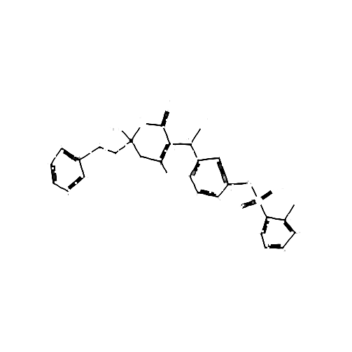 CCCC1(CCc2ccccc2)CC(O)=C(C(CC)c2cccc(NS(=O)(=O)c3ccccc3O)c2)C(=O)O1